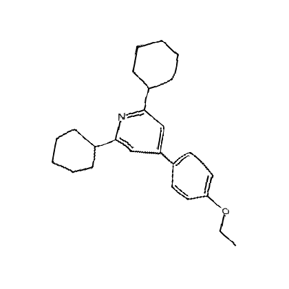 CCOc1ccc(-c2cc(C3CCCCC3)nc(C3CCCCC3)c2)cc1